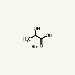 CC(O)C(=O)O.[Rh]